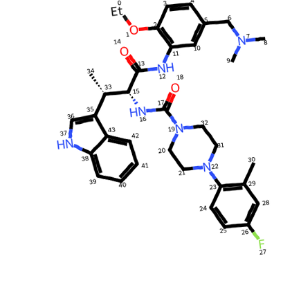 CCOc1ccc(CN(C)C)cc1NC(=O)[C@H](NC(=O)N1CCN(c2ccc(F)cc2C)CC1)[C@@H](C)c1c[nH]c2ccccc12